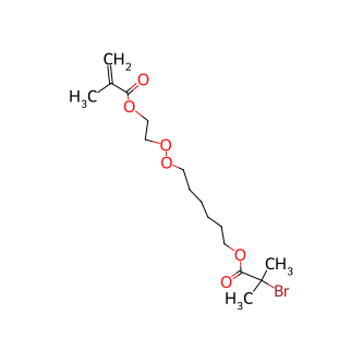 C=C(C)C(=O)OCCOOCCCCCCOC(=O)C(C)(C)Br